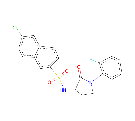 O=C1C(NS(=O)(=O)c2ccc3cc(Cl)ccc3c2)CCN1c1ccccc1F